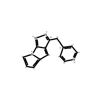 c1cc2cc3c(n2c1)=NN=C3Cc1ccncc1